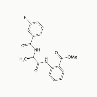 COC(=O)c1ccccc1NC(=O)[C@@H](C)NC(=O)c1cccc(F)c1